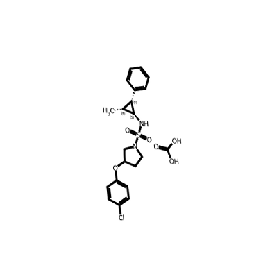 C[C@H]1[C@H](NS(=O)(=O)N2CCC(Oc3ccc(Cl)cc3)C2)[C@H]1c1ccccc1.O=C(O)O